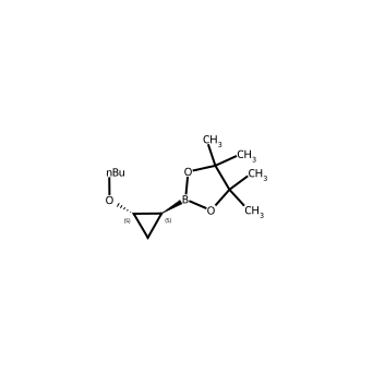 CCCCO[C@H]1C[C@@H]1B1OC(C)(C)C(C)(C)O1